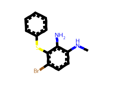 CNc1ccc(Br)c(Sc2ccccc2)c1N